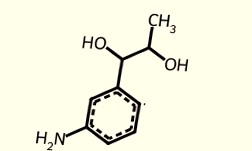 CC(O)C(O)c1[c]ccc(N)c1